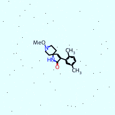 CON1CCC2(C=C(c3cc(C)ccc3C)C(=O)N2)CC1